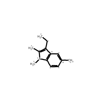 C[CH]c1c(C)n(C)c2ccc(C)cc12